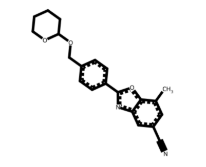 Cc1cc(C#N)cc2nc(-c3ccc(COC4CCCCO4)cc3)oc12